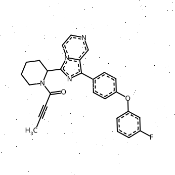 CC#CC(=O)N1CCCCC1c1nc(-c2ccc(Oc3cccc(F)c3)cc2)c2cnccn12